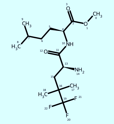 COC(=O)[C@H](CCC(C)C)NC(=O)[C@@H](N)CC(C)(C)C(F)(F)F